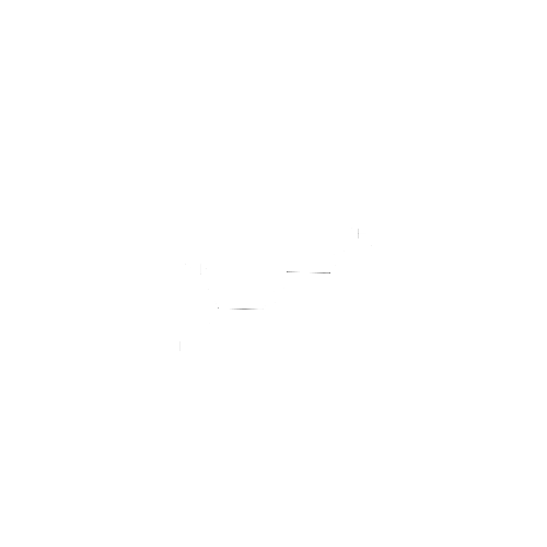 C=CC=C[CH](C)[Pd+2].[I-].[I-]